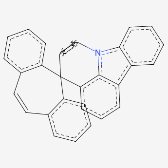 C1=Cc2ccccc2C2(c3ccccc31)c1ccccc1-n1c3ccccc3c3cccc2c31